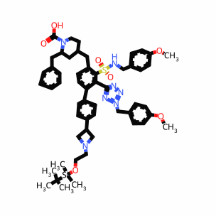 COc1ccc(CNS(=O)(=O)c2c(CC3CCN(C(=O)O)C(Cc4ccccc4)C3)ccc(-c3ccc(C4CN(CCO[Si](C)(C)C(C)(C)C)C4)cc3)c2-c2nnn(Cc3ccc(OC)cc3)n2)cc1